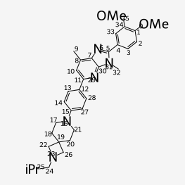 COc1ccc(-c2nc3c(C)cc(-c4ccc(N5CCC6(CC5)CN(CC(C)C)C6)cc4)nc3n2C)cc1OC